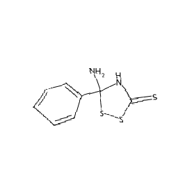 NC1(c2ccccc2)NC(=S)SS1